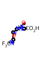 C[C@@H](c1nc2ccc(C(=O)O)cc2n1C[C@@H]1CCO1)N1CCC(c2cccc(OCc3ccc4cnn(CC(F)(F)F)c4c3)n2)CC1